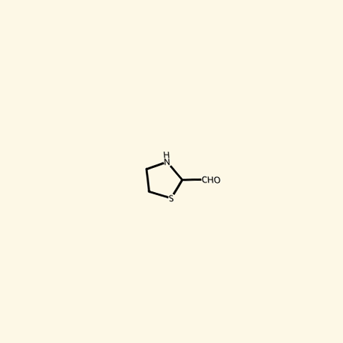 O=CC1NCCS1